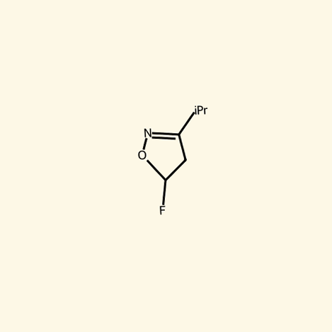 CC(C)C1=NOC(F)C1